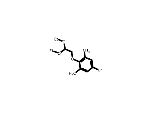 CCOC(COc1c(C)cc(Br)cc1C)OCC